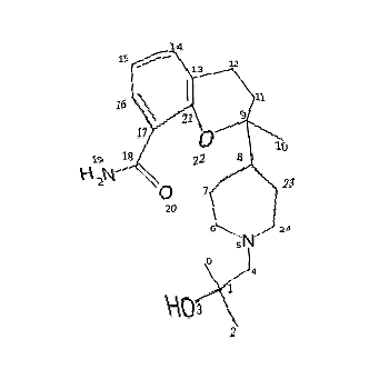 CC(C)(O)CN1CCC(C2(C)CCc3cccc(C(N)=O)c3O2)CC1